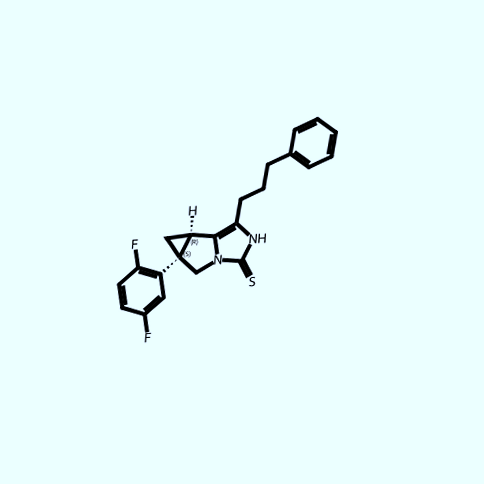 Fc1ccc(F)c([C@]23C[C@H]2c2c(CCCc4ccccc4)[nH]c(=S)n2C3)c1